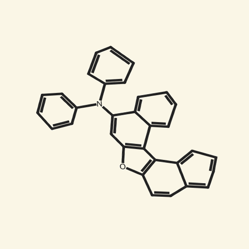 c1ccc(N(c2ccccc2)c2cc3oc4ccc5ccccc5c4c3c3ccccc23)cc1